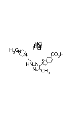 Cc1cnc(NCCCN2CCN(C)CC2)nc1-c1cc2ccc(C(=O)O)cc2s1.Cl.Cl.Cl